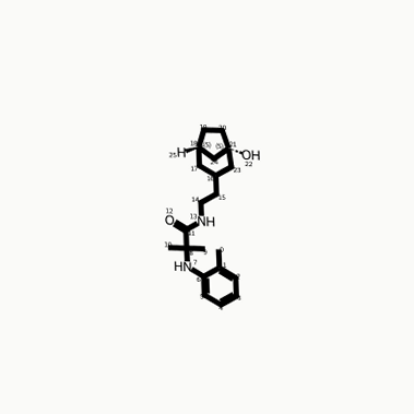 Cc1ccccc1NC(C)(C)C(=O)NCCC1C[C@@H]2CC[C@@](O)(C1)C2